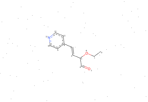 CCOC(C=O)C=Cc1ccncc1